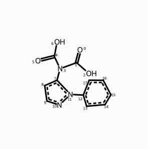 O=C(O)N(C(=O)O)c1ccnn1-c1ccccc1